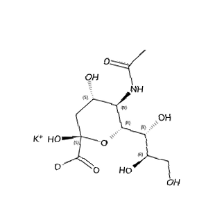 CC(=O)N[C@H]1[C@H]([C@H](O)[C@H](O)CO)O[C@](O)(C(=O)[O-])C[C@@H]1O.[K+]